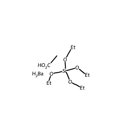 CC(=O)O.CCO[Si](OCC)(OCC)OCC.[BaH2]